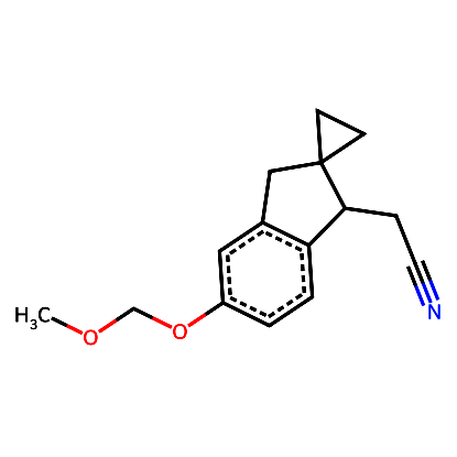 COCOc1ccc2c(c1)CC1(CC1)C2CC#N